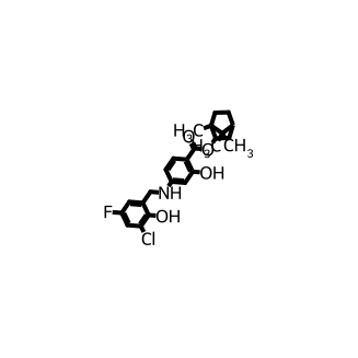 CC1(C)C2CCC1(C)C(OC(=O)c1ccc(NCc3cc(F)cc(Cl)c3O)cc1O)C2